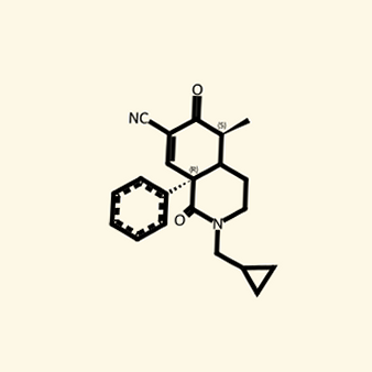 C[C@@H]1C(=O)C(C#N)=C[C@]2(c3ccccc3)C(=O)N(CC3CC3)CCC12